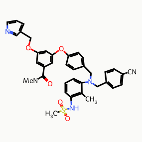 CNC(=O)c1cc(OCc2cccnc2)cc(Oc2ccc(CN(Cc3ccc(C#N)cc3)c3cccc(NS(C)(=O)=O)c3C)cc2)c1